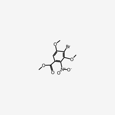 COC(=O)c1cc(OC)c(Br)c(OC)c1[N+](=O)[O-]